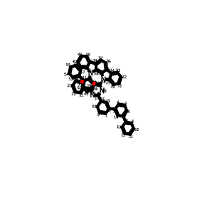 C1=CC(c2cccc(-c3ccccc3)c2)=CC(c2nc(-c3ccccc3)nc(-n3c4ccccc4c4ccc5c6ccccc6n(-c6ccccc6-c6ccccc6)c5c43)n2)C1